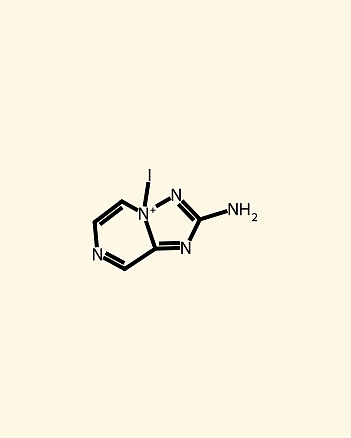 NC1=N[N+]2(I)C=CN=CC2=N1